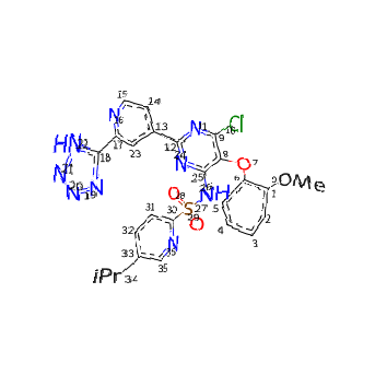 COc1ccccc1Oc1c(Cl)nc(-c2ccnc(-c3nnn[nH]3)c2)nc1NS(=O)(=O)c1ccc(C(C)C)cn1